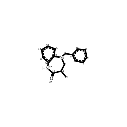 CC1CN(Cc2ccccc2)c2ccccc2NC1=O